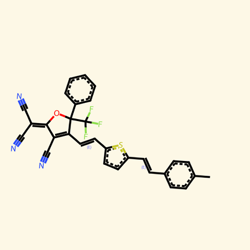 Cc1ccc(/C=C/c2ccc(/C=C/C3=C(C#N)C(=C(C#N)C#N)OC3(c3ccccc3)C(F)(F)F)s2)cc1